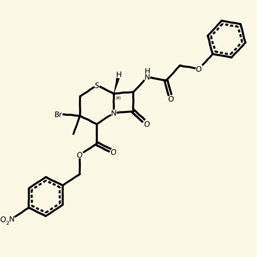 CC1(Br)CS[C@@H]2C(NC(=O)COc3ccccc3)C(=O)N2C1C(=O)OCc1ccc([N+](=O)[O-])cc1